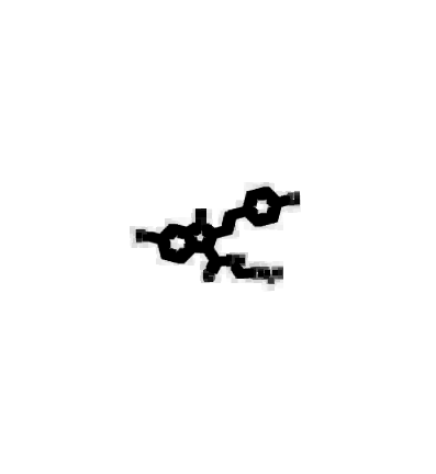 O=C(O)CNC(=O)c1c(C=Cc2ccc(Cl)cc2)[nH]c2cc(Br)ccc12